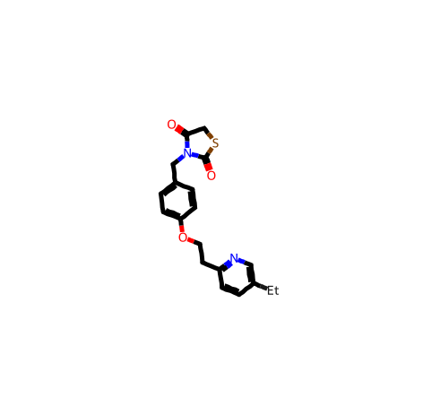 CCc1ccc(CCOc2ccc(CN3C(=O)CSC3=O)cc2)nc1